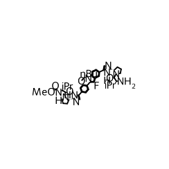 CCCCC1Oc2cc(-c3cnc([C@@H]4CCCN4C(=O)[C@@H](NC(=O)OC)C(C)C)[nH]3)ccc2-c2c(F)c3cc(-c4cnc([C@@H]5CCCN5C(=O)[C@@H](N)C(C)C)[nH]4)ccc3n21